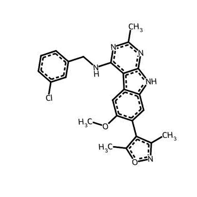 COc1cc2c(cc1-c1c(C)noc1C)[nH]c1nc(C)nc(NCc3cccc(Cl)c3)c12